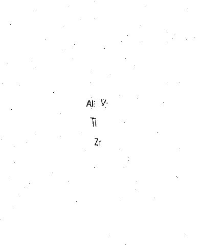 [Al].[Ti].[V].[Zr]